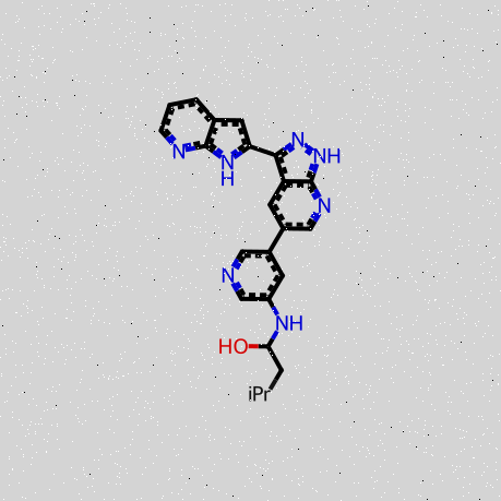 CC(C)CC(O)Nc1cncc(-c2cnc3[nH]nc(-c4cc5cccnc5[nH]4)c3c2)c1